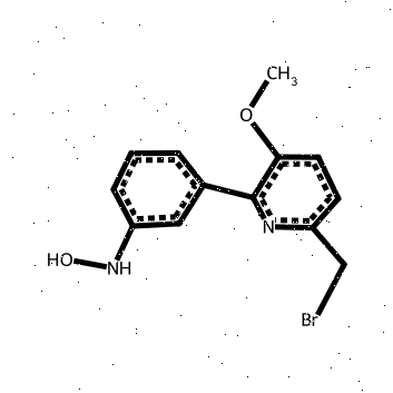 COc1ccc(CBr)nc1-c1cccc(NO)c1